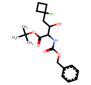 CC(C)(C)OC(=O)C(NC(=O)OCc1ccccc1)C(O)CC1(F)CCC1